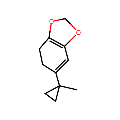 CC1(C2=CC3=C(CC2)OCO3)CC1